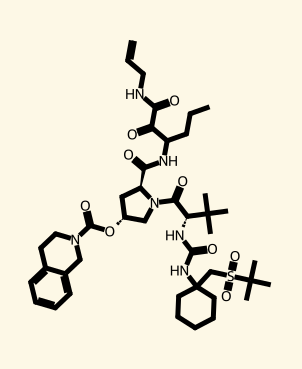 C=CCNC(=O)C(=O)C(CCC)NC(=O)[C@@H]1C[C@@H](OC(=O)N2CCc3ccccc3C2)CN1C(=O)[C@@H](NC(=O)NC1(CS(=O)(=O)C(C)(C)C)CCCCC1)C(C)(C)C